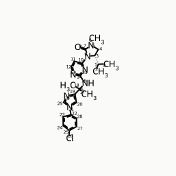 CC(C)[C@H]1CN(C)C(=O)N1c1ccnc(NC(C)(C)c2cn(-c3ccc(Cl)cc3)cn2)n1